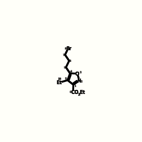 CCOC(=O)c1noc(CCCBr)c1CC